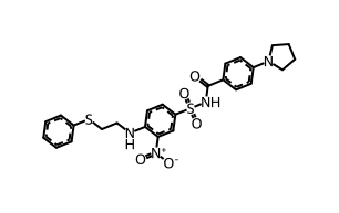 O=C(NS(=O)(=O)c1ccc(NCCSc2ccccc2)c([N+](=O)[O-])c1)c1ccc(N2CCCC2)cc1